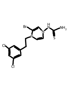 NC(=S)NN1C=CN(CCc2cc(Cl)cc(Cl)c2)C(Br)=C1